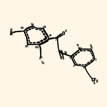 O=C(Nc1cc(C(F)(F)F)ccn1)c1ccc(Br)cc1F